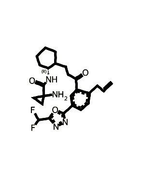 C=CCc1ccc(-c2nnc(C(F)F)o2)cc1C(=O)CCC1CCCC[C@H]1NC(=O)C1(N)CC1